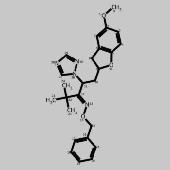 COc1ccc2c(c1)CC(CC(C(=NOCc1ccccc1)C(C)(C)C)n1cncn1)O2